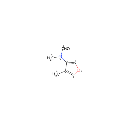 [CH2]c1cocc1N(C)C=O